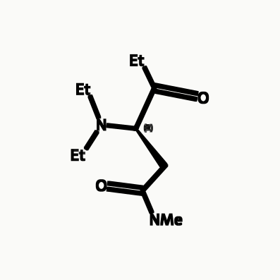 CCC(=O)[C@@H](CC(=O)NC)N(CC)CC